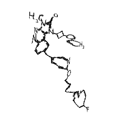 COC1CC(n2c(=O)n(C)c3nnc4ccc(-c5ccc(OCCCN6CCC(F)CC6)nc5)cc4c32)C1